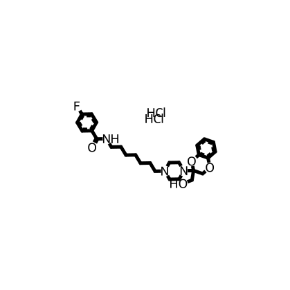 Cl.Cl.O=C(NCCCCCCCN1CCN(C2(CO)COc3ccccc3O2)CC1)c1ccc(F)cc1